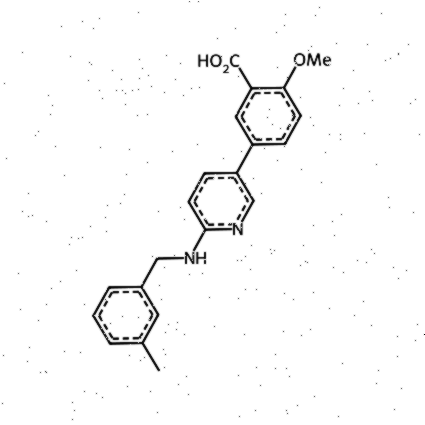 COc1ccc(-c2ccc(NCc3cccc(C)c3)nc2)cc1C(=O)O